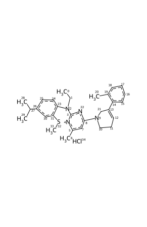 CCN(c1nc(C)cc(N2CCC=C(c3ccccc3C)C2)n1)c1ccc(C(C)C)cc1SC.Cl